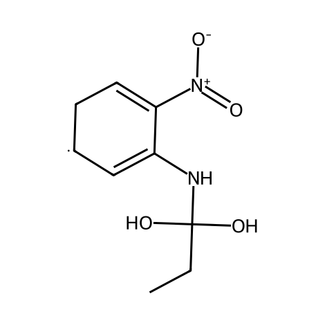 CCC(O)(O)NC1=C[CH]CC=C1[N+](=O)[O-]